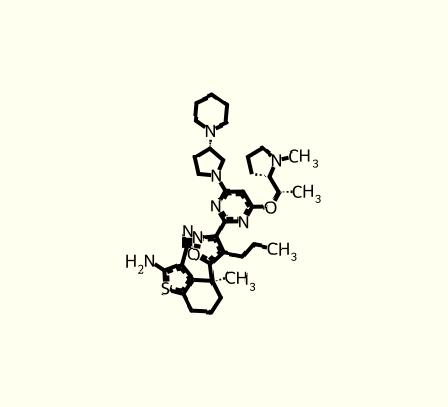 CCCc1c(-c2nc(O[C@@H](C)[C@@H]3CCCN3C)cc(N3CC[C@H](N4CCCCC4)C3)n2)noc1[C@@]1(C)CCCc2sc(N)c(C#N)c21